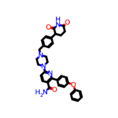 NC(=O)c1ccc(N2CCN(Cc3ccc(C4CCC(=O)NC4=O)cc3)CC2)nc1-c1ccc(Oc2ccccc2)cc1